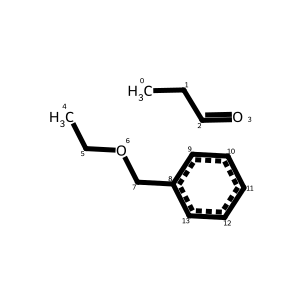 CCC=O.CCOCc1ccccc1